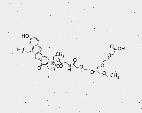 CCOCC(COCCOCC(=O)O)OCCOCC(=O)NCC(=O)O[C@]1(CC)C(=O)OCc2c1cc1n(c2=O)Cc2c-1nc1ccc(O)cc1c2CC